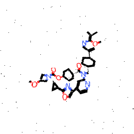 C=C(/C=N\C(OC)=C(C)C)[C@H]1CC[C@H](CN(c2cc(-c3coc(C4CC4)n3)ccn2)C(=O)[C@H]2CC[C@H](OC(=O)N3CC(OC)C3)CC2)CC1